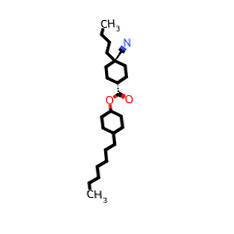 CCCCCCCC1CCC(OC(=O)[C@H]2CC[C@@](C#N)(CCCC)CC2)CC1